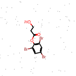 O=C(CCO)Oc1c(Br)cc(Br)cc1Br